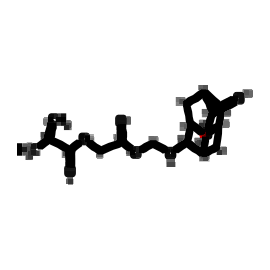 C=C(C)C(=O)OCC(=O)OCOC1C2CC3CC(C2)C(=O)OC1C3